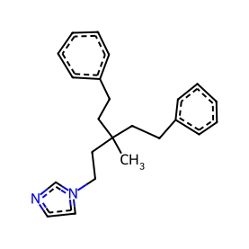 CC(CCc1ccccc1)(CCc1ccccc1)CCn1ccnc1